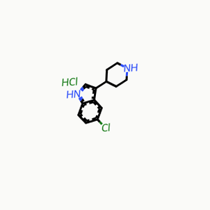 Cl.Clc1ccc2[nH]cc(C3CCNCC3)c2c1